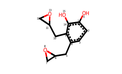 Oc1ccc(CC2CO2)c(CC2CO2)c1O